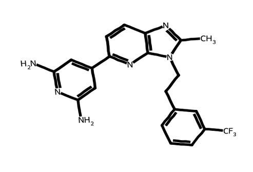 Cc1nc2ccc(-c3cc(N)nc(N)c3)nc2n1CCc1cccc(C(F)(F)F)c1